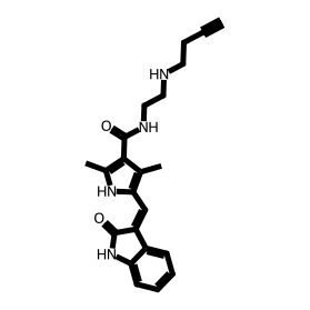 C#CCCNCCNC(=O)c1c(C)[nH]c(/C=C2\C(=O)Nc3ccccc32)c1C